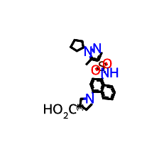 Cc1c(S(=O)(=O)Nc2ccc(N3CC[C@@H](C(=O)O)C3)c3ccccc23)cnn1C1CCCC1